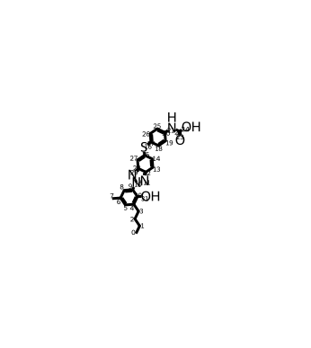 CCCCc1cc(C)cc(-n2nc3ccc(Sc4ccc(NC(=O)O)cc4)cc3n2)c1O